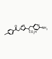 Cc1ccc(C(=O)Cn2cnc(C(Cc3ccc(N)nc3)C(=O)O)c2)cc1